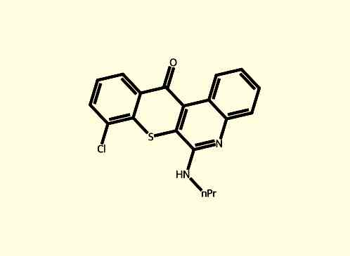 CCCNc1nc2ccccc2c2c(=O)c3cccc(Cl)c3sc12